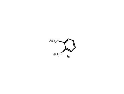 I.O=C(O)c1ccccc1C(=O)O